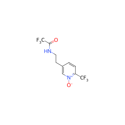 O=C(NCCc1ccc(C(F)(F)F)[n+]([O-])c1)C(F)(F)F